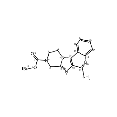 CC(C)(C)OC(=O)N1CCn2c(nc3c(N)nc4ccccc4c32)C1